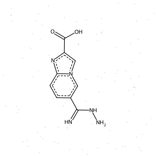 N=C(NN)c1ccc2nc(C(=O)O)cn2c1